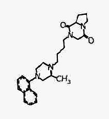 CC1CN(c2cccc3ccccc23)CCN1CCCCN1CC(=O)N2CCCC2C1=O